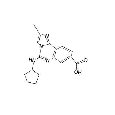 Cc1cn2c(NC3CCCC3)nc3cc(C(=O)O)ccc3c2n1